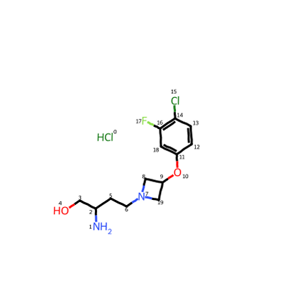 Cl.NC(CO)CCN1CC(Oc2ccc(Cl)c(F)c2)C1